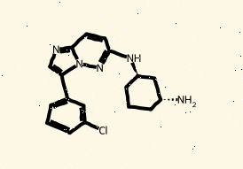 N[C@@H]1CCC[C@@H](Nc2ccc3ncc(-c4cccc(Cl)c4)n3n2)C1